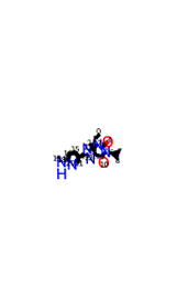 CCN1C(=O)N(C2CC2)C(=O)C2=NC(c3ccc(NC)nc3)=NC21C